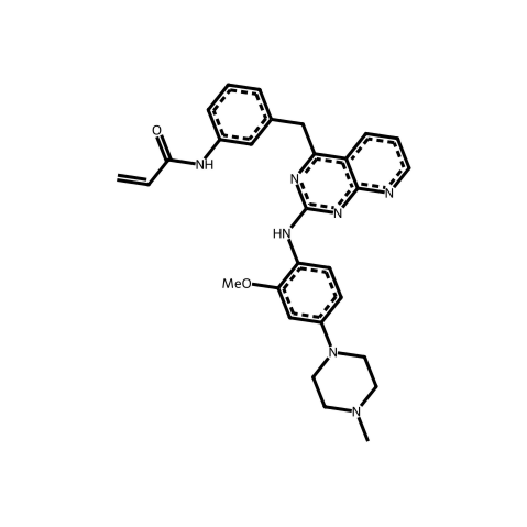 C=CC(=O)Nc1cccc(Cc2nc(Nc3ccc(N4CCN(C)CC4)cc3OC)nc3ncccc23)c1